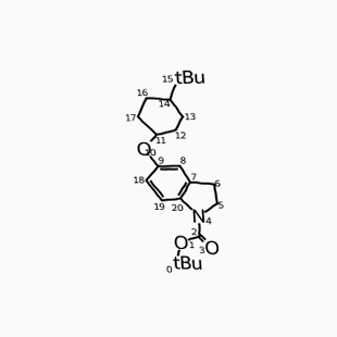 CC(C)(C)OC(=O)N1CCc2cc(OC3CCC(C(C)(C)C)CC3)ccc21